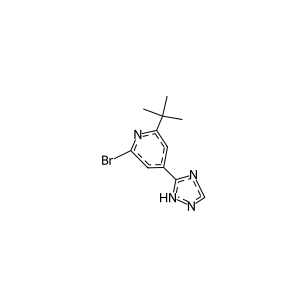 CC(C)(C)c1cc(-c2ncn[nH]2)cc(Br)n1